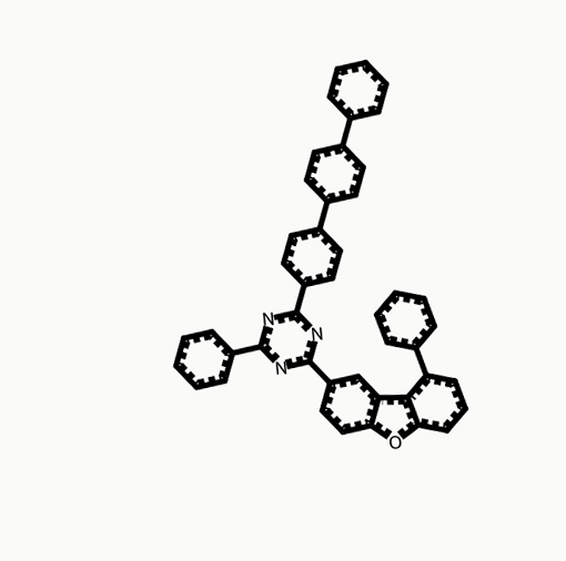 c1ccc(-c2ccc(-c3ccc(-c4nc(-c5ccccc5)nc(-c5ccc6oc7cccc(-c8ccccc8)c7c6c5)n4)cc3)cc2)cc1